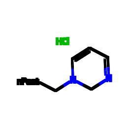 CCCCCCN1C=CC=NC1.Cl